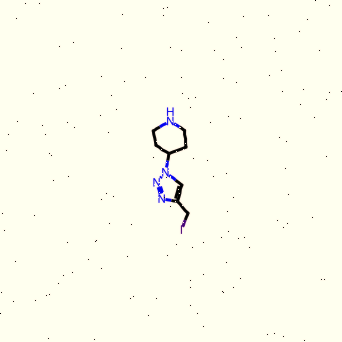 ICc1cn(C2CCNCC2)nn1